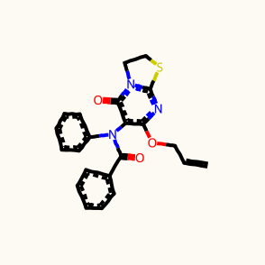 C=CCOc1nc2n(c(=O)c1N(C(=O)c1ccccc1)c1ccccc1)CCS2